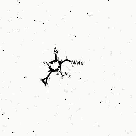 CNCc1c(Br)nc(C2CC2)n1C